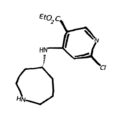 CCOC(=O)c1cnc(Cl)cc1N[C@@H]1CCCNCC1